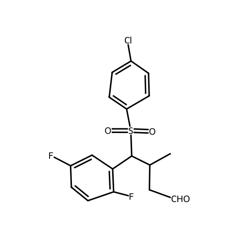 CC(CC=O)C(c1cc(F)ccc1F)S(=O)(=O)c1ccc(Cl)cc1